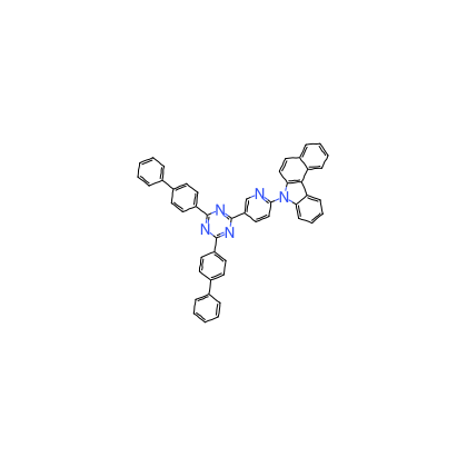 c1ccc(-c2ccc(-c3nc(-c4ccc(-c5ccccc5)cc4)nc(-c4ccc(-n5c6ccccc6c6c7ccccc7ccc65)nc4)n3)cc2)cc1